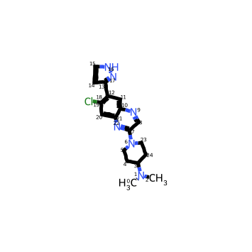 CN(C)C1CCN(c2cnc3cc(-c4cc[nH]n4)c(Cl)cc3n2)CC1